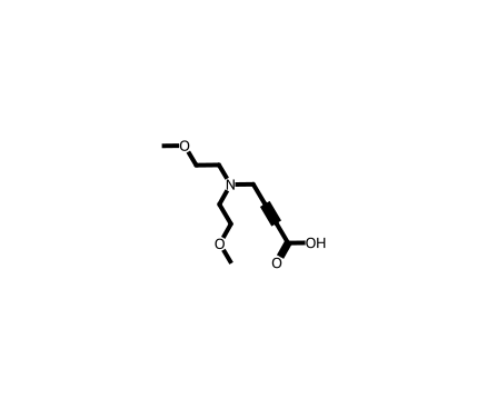 COCCN(CC#CC(=O)O)CCOC